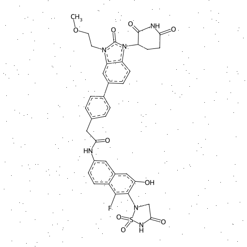 COCCn1c(=O)n(C2CCC(=O)NC2=O)c2ccc(-c3ccc(CC(=O)Nc4ccc5c(F)c(N6CC(=O)NS6(=O)=O)c(O)cc5c4)cc3)cc21